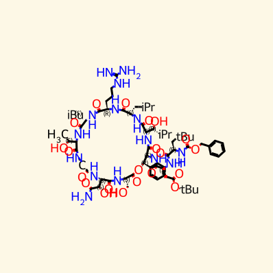 CC[C@H](C)C1NC(=O)[C@@H](CCCNC(=N)N)NC(=O)[C@H](CC(C)C)NC(=O)[C@H]([C@H](O)C(C)C)NC(=O)[C@@H](NC(=O)[C@H](CC(=O)OC(C)(C)C)NC(=O)[C@@H](CC(C)(C)C)NC(=O)OCc2ccccc2)[C@@H](c2ccccc2)OC(=O)[C@H](CO)NC(=O)[C@H]([C@H](O)C(N)=O)NC(=O)CNC(=O)C([C@H](C)O)NC1=O